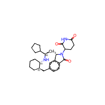 C[C@@H](N[C@H]1CCCC[C@@H]1Cc1ccc2c(c1)CN(C1CCC(=O)NC1=O)C2=O)C1CCCC1